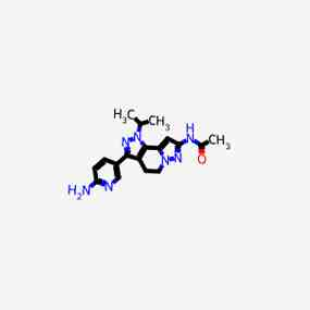 CC(=O)Nc1cc2n(n1)CCc1c(-c3ccc(N)nc3)nn(C(C)C)c1-2